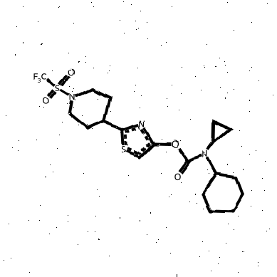 O=C(Oc1csc(C2CCN(S(=O)(=O)C(F)(F)F)CC2)n1)N(C1CCCCC1)C1CC1